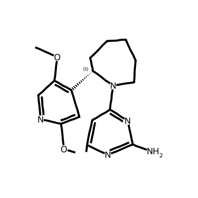 COc1cc([C@@H]2CCCCCN2c2cc(C)nc(N)n2)c(OC)cn1